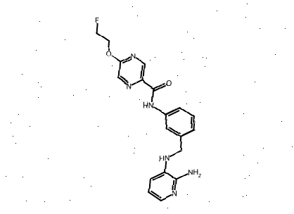 Nc1ncccc1NCc1cccc(NC(=O)c2cnc(OCCF)cn2)c1